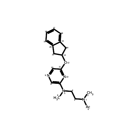 CC(=O)N(C)CCN(C)c1cncc(OC2Cc3ccccc3C2)n1